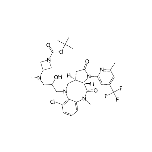 Cc1cc(C(F)(F)F)cc(N2C(=O)C[C@@H]3CN(CC(O)CN(C)C4CN(C(=O)OC(C)(C)C)C4)c4c(Cl)cccc4N(C)C(=O)[C@H]32)n1